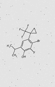 CC(C)c1cc(C2(C(F)(F)F)CC2)c(Br)c(F)c1O